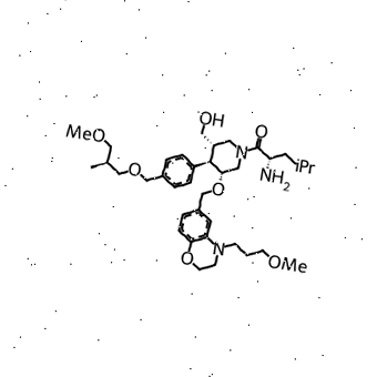 COCCCN1CCOc2ccc(CO[C@H]3CN(C(=O)[C@@H](N)CC(C)C)C[C@@H](CO)[C@@H]3c3ccc(COC[C@@H](C)COC)cc3)cc21